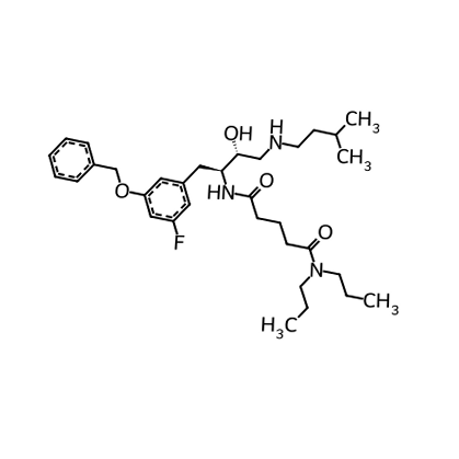 CCCN(CCC)C(=O)CCCC(=O)N[C@@H](Cc1cc(F)cc(OCc2ccccc2)c1)[C@H](O)CNCCC(C)C